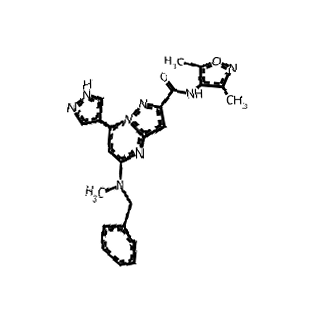 Cc1noc(C)c1NC(=O)c1cc2nc(N(C)Cc3ccccc3)cc(-c3cn[nH]c3)n2n1